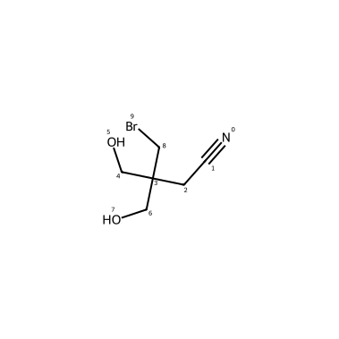 N#CCC(CO)(CO)CBr